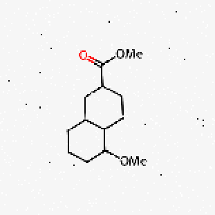 COC(=O)C1CCC2C(CCCC2OC)C1